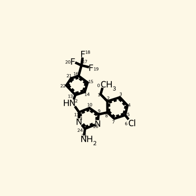 CCc1ccc(Cl)cc1-c1cc(Nc2ccc(C(F)(F)F)cc2)nc(N)n1